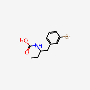 CCC(Cc1cccc(Br)c1)NC(=O)O